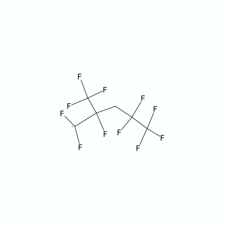 F[C](F)C(F)(CC(F)(F)C(F)(F)F)C(F)(F)F